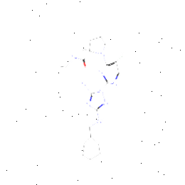 Nc1nc(NCC2CCCCC2)nn1-c1ncc(F)c(N2CCC[C@@H]2C(=O)NCC(F)(F)F)n1